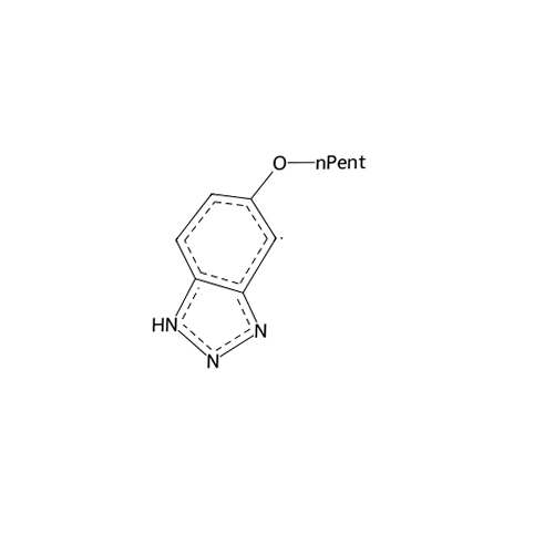 CCCCCOc1[c]c2nn[nH]c2cc1